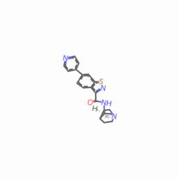 O=C(N[C@H]1CN2CCC1CC2)c1nsc2cc(-c3ccncc3)ccc12